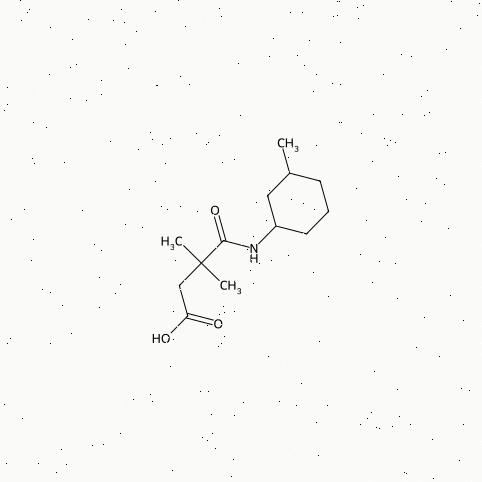 CC1CCCC(NC(=O)C(C)(C)CC(=O)O)C1